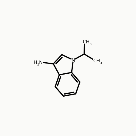 CC(C)n1cc(N)c2ccccc21